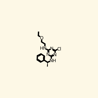 CCOCCNc1nc(Cl)nc(N[C@@H](C)c2ccccc2)n1